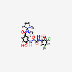 CCN(C(=O)c1ccc(O)c(NC(=O)C(=O)Nc2cc(Cl)cc(Cl)c2O)c1)C1CCCN1C